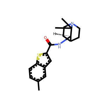 Cc1ccc2sc(C(=O)N[C@@H]3C4CCN(CC4)C3(C)C)cc2c1